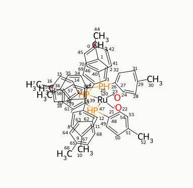 Cc1ccc([PH](c2ccc(C)cc2)(c2ccc(C)cc2)[Ru]([CH]=O)([CH]=O)([PH](c2ccc(C)cc2)(c2ccc(C)cc2)c2ccc(C)cc2)[PH](c2ccc(C)cc2)(c2ccc(C)cc2)c2ccc(C)cc2)cc1